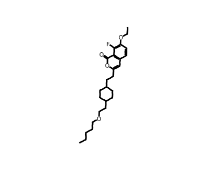 CCCCCOCCC1CCC(CCc2cc3ccc(OCC)c(F)c3c(=O)o2)CC1